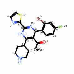 COC(=O)C1=C(C2CCNCC2)NC(c2nccs2)=NC1c1ccc(F)cc1Br